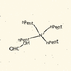 CCCCC[N+](CCCCC)(CCCCC)CCCCC.O=CO